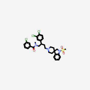 CN(CC(CCN1CCC2(CC1)CN(S(C)(=O)=O)c1ccccc12)c1ccc(Cl)c(Cl)c1)C(=O)c1cccc(Cl)c1